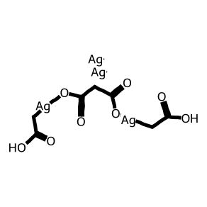 O=C(O)[CH2][Ag][O]C(=O)CC(=O)[O][Ag][CH2]C(=O)O.[Ag].[Ag]